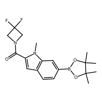 Cn1c(C(=O)N2CC(F)(F)C2)cc2ccc(B3OC(C)(C)C(C)(C)O3)cc21